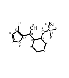 CC(C)(C)[Si](C)(C)OC1CCCCC1C(O)c1sccc1I